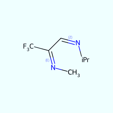 C/N=C(\C=N/C(C)C)C(F)(F)F